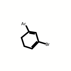 CC(=O)C1=CC(Br)=CCC1